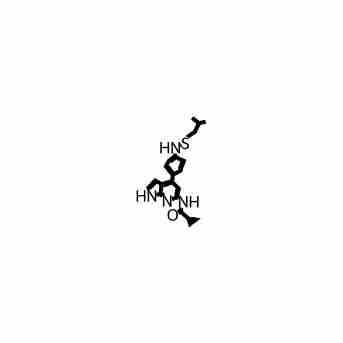 CC(C)CCSNc1ccc(-c2cc(NC(=O)C3CC3)nc3[nH]ccc23)cc1